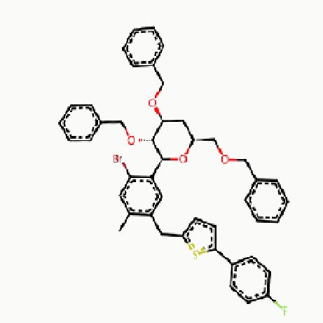 Cc1cc(Br)c([C@@H]2O[C@H](COCc3ccccc3)C[C@H](OCc3ccccc3)[C@H]2OCc2ccccc2)cc1Cc1ccc(-c2ccc(F)cc2)s1